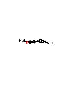 CCCCCc1ccc2cc(C#Cc3ccc(-c4ccc(OCCC)cc4)cc3)ccc2c1